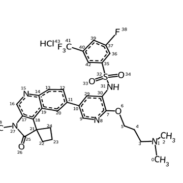 CN(C)CCCOc1ncc(-c2ccc3ncc4c(c3c2)C2(CCC2)C(=O)N4C)cc1NS(=O)(=O)c1cc(F)cc(C(F)(F)F)c1.Cl